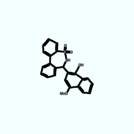 COc1cc(C2NS(=O)(=O)c3ccccc3-c3ccccc32)c(O)c2ccccc12